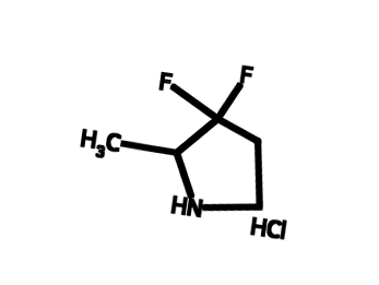 CC1NCCC1(F)F.Cl